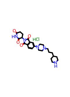 Cl.O=C1CCC(N2C(=O)c3ccc(N4CCN(CCCC5CCNCC5)CC4)cc3C2=O)C(=O)N1